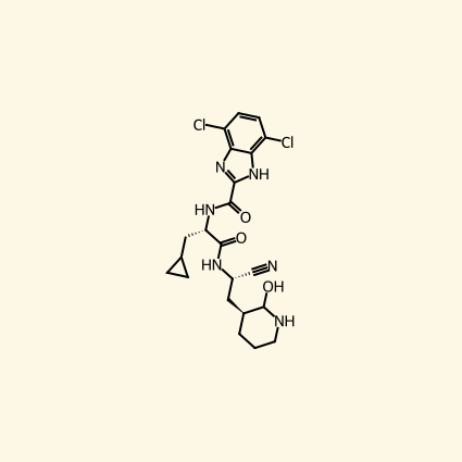 N#C[C@H](C[C@@H]1CCCNC1O)NC(=O)[C@H](CC1CC1)NC(=O)c1nc2c(Cl)ccc(Cl)c2[nH]1